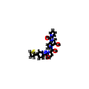 CC(C)CC(NC(=O)c1ccc(-c2cccs2)cc1)C(=O)N1CCC2C1C(=O)CN2C(=O)N1CCCC1